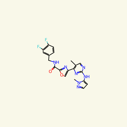 Cc1cnc(Nc2ccnn2C)nc1-c1coc(C(=O)NCc2ccc(F)c(F)c2)n1